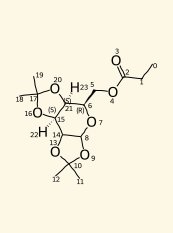 CCC(=O)OC[C@H]1OC2OC(C)(C)OC2[C@H]2OC(C)(C)O[C@H]21